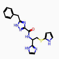 O=C(NC(CSc1ccc[nH]1)c1ncc[nH]1)c1n[nH]c(Cc2ccccc2)n1